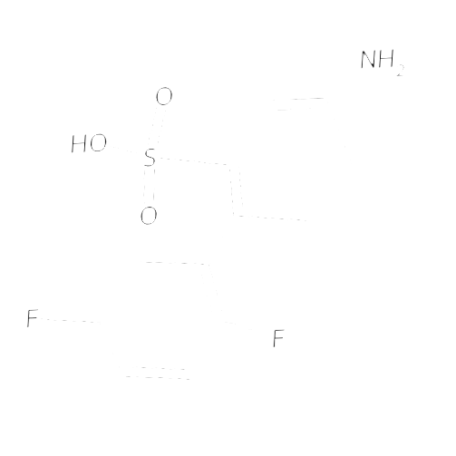 Nc1ccc(-c2cc(F)ccc2F)c(S(=O)(=O)O)c1